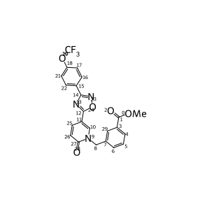 COC(=O)c1cccc(Cn2cc(-c3nc(-c4ccc(OC(F)(F)F)cc4)no3)ccc2=O)c1